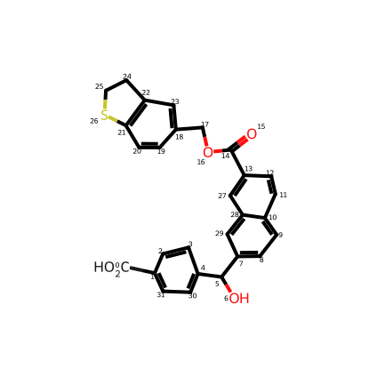 O=C(O)c1ccc(C(O)c2ccc3ccc(C(=O)OCc4ccc5c(c4)CCS5)cc3c2)cc1